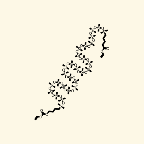 C=COC(=O)CCCC[Si](C)(C)O[Si](C)(C)O[Si](C)(C)O[Si](C)(C)O[Si](C)(C)O[Si](C)(C)O[Si](C)(C)O[Si](C)(C)O[Si](C)(C)O[Si](C)(C)O[Si](C)(C)O[Si](C)(C)O[Si](C)(C)O[Si](C)(C)O[Si](C)(C)O[Si](C)(C)O[Si](C)(C)O[Si](C)(C)O[Si](C)(C)O[Si](C)(C)O[Si](C)(C)O[Si](C)(C)O[Si](C)(C)O[Si](C)(C)O[Si](C)(C)O[Si](C)(C)O[Si](C)(C)CCCCOC(=O)OC=C